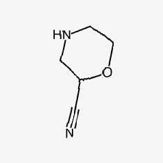 N#C[C]1CNCCO1